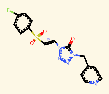 O=c1n(/C=C/S(=O)(=O)c2ccc(F)cc2)nnn1Cc1ccncc1